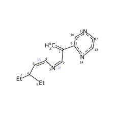 C=C(/C=N\C=C/C(CC)CC)c1cnccn1